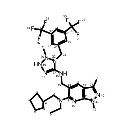 CCN(CC1CCCC1)c1nc2c(cc1CNC1=NNN(C)N1Cc1cc(C(F)(F)F)cc(C(F)(F)F)c1)c(C)nn2C